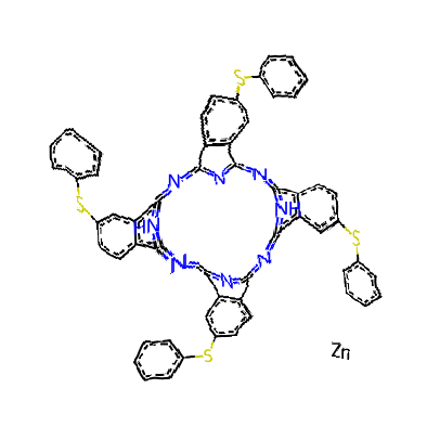 [Zn].c1ccc(Sc2ccc3c(c2)-c2nc-3nc3[nH]c(nc4nc(nc5[nH]c(n2)c2ccc(Sc6ccccc6)cc52)-c2ccc(Sc5ccccc5)cc2-4)c2ccc(Sc4ccccc4)cc32)cc1